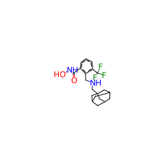 O=C(NO)c1cccc(C(F)(F)F)c1CNCC12CC3CC(CC(C3)C1)C2